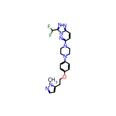 Cn1nccc1CCOc1ccc(N2CCN(c3ccc4nnc(C(F)F)n4n3)CC2)cc1